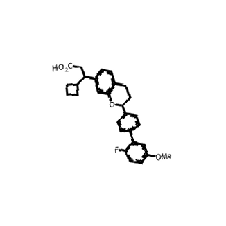 COc1ccc(F)c(-c2ccc(C3CCc4ccc(C(CC(=O)O)C5CCC5)cc4O3)cc2)c1